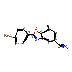 Cc1cc(C#N)cc2nc(-c3ccc(Br)cc3)oc12